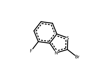 Fc1cccc2sc(Br)nc12